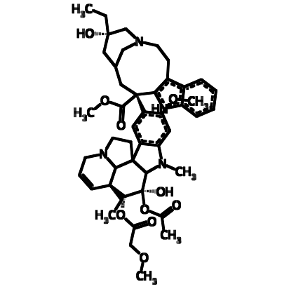 CC[C@]1(O)CC2CN(CCc3c([nH]c4ccccc34)[C@@](C(=O)OC)(c3cc4c(cc3OC)N(C)C3C45CCN4CC=C[C@](CC)(C45)[C@@H](OC(=O)COC)[C@]3(O)OC(C)=O)C2)C1